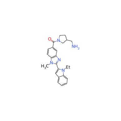 CCn1c(-c2nc3cc(C(=O)N4CCC(CN)C4)ccc3n2C)cc2ccccc21